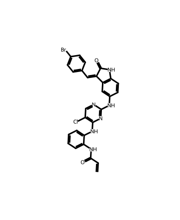 C=CC(=O)Nc1ccccc1Nc1nc(Nc2ccc3c(c2)/C(=C/c2ccc(Br)cc2)C(=O)N3)ncc1Cl